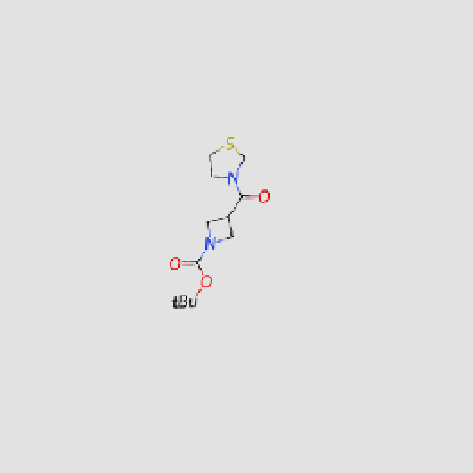 CC(C)(C)OC(=O)N1CC(C(=O)N2CCSC2)C1